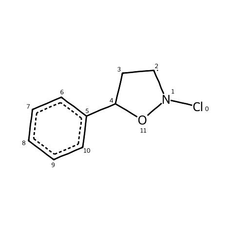 ClN1[CH]CC(c2ccccc2)O1